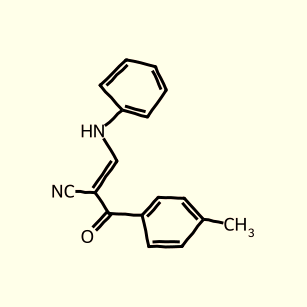 Cc1ccc(C(=O)C(C#N)=CNc2ccccc2)cc1